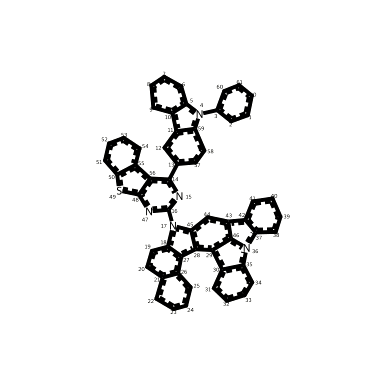 c1ccc(-n2c3ccccc3c3cc(-c4nc(-n5c6ccc7ccccc7c6c6c7c8ccccc8n8c9ccccc9c(cc65)c78)nc5sc6ccccc6c45)ccc32)cc1